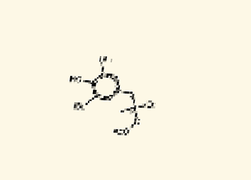 CC[C@](C)(OOC(C)=O)Sc1cc(C(C)(C)C)c(O)c(C(C)(C)C)c1